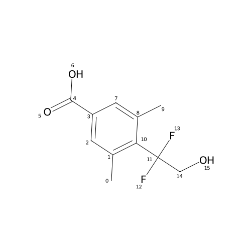 Cc1cc(C(=O)O)cc(C)c1C(F)(F)CO